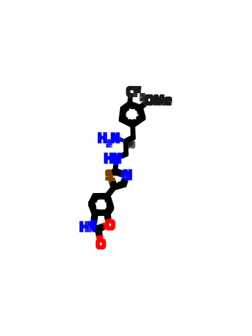 COc1cc(C[C@@H](N)CNc2ncc(-c3ccc4[nH]c(=O)oc4c3)s2)ccc1C(F)(F)F